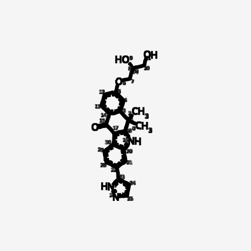 CC1(C)c2cc(OC[C@@H](O)CO)ccc2C(=O)c2c1[nH]c1cc(-c3ccn[nH]3)ccc21